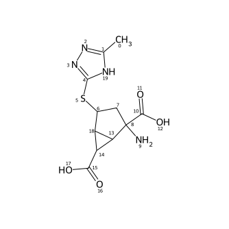 Cc1nnc(SC2CC(N)(C(=O)O)C3C(C(=O)O)C23)[nH]1